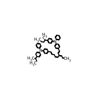 C=C/C=C(\C=C/C/C=C/c1ccc(N(C2=CCC(C(C)CC)C=C2)c2ccccc2)cc1)/C=C/c1ccc(N(c2ccccc2)c2ccc(C(C)CCC)cc2)cc1